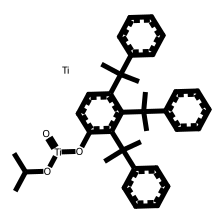 CC(C)[O][Ti](=[O])[O]c1ccc(C(C)(C)c2ccccc2)c(C(C)(C)c2ccccc2)c1C(C)(C)c1ccccc1.[Ti]